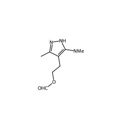 CNc1[nH]nc(C)c1CCOC=O